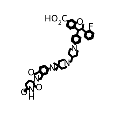 O=C1CCC(N2Cc3cc(N4CC5(CCN(CC6CCN(c7ccc(C8c9ccc(C(=O)O)cc9OCC8c8ccccc8F)cc7)CC6)CC5)C4)ccc3C2=O)C(=O)N1